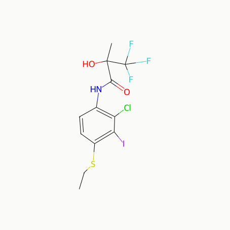 CCSc1ccc(NC(=O)C(C)(O)C(F)(F)F)c(Cl)c1I